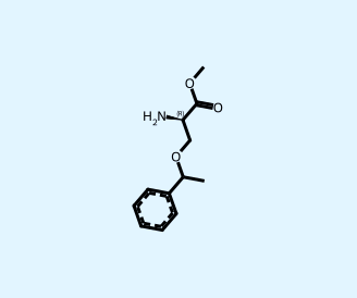 COC(=O)[C@H](N)COC(C)c1ccccc1